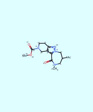 CC(=O)C1CN(C)C(=O)c2c3c(nn2C1)CCN(C(=O)OC(C)(C)C)C3